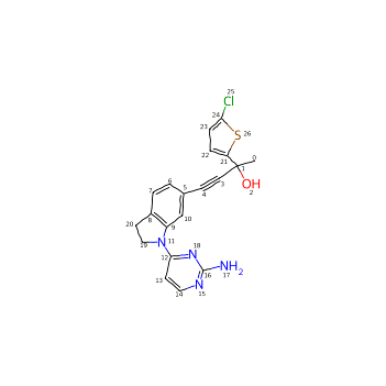 CC(O)(C#Cc1ccc2c(c1)N(c1ccnc(N)n1)CC2)c1ccc(Cl)s1